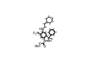 CC(C)(C)OC(=O)N1NC(I)(c2ccccc2)c2cc(NCCN3CCOCC3)c([N+](=O)[O-])cc21